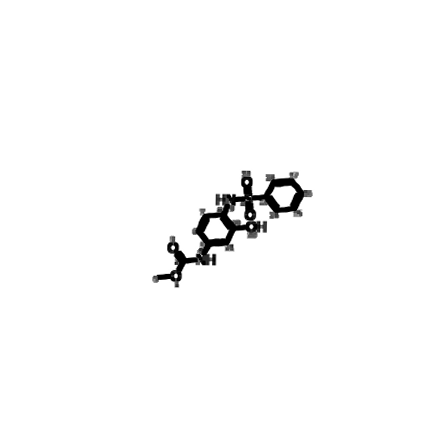 COC(=O)Nc1ccc(NS(=O)(=O)c2ccccc2)c(O)c1